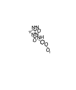 CCOCCOc1ccc(CNc2nc(-c3c(OC)ncnc3C3CC3)ncc2OC)cc1